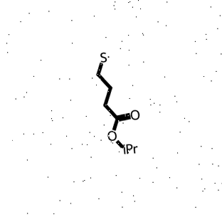 CC(C)OC(=O)CCC[S]